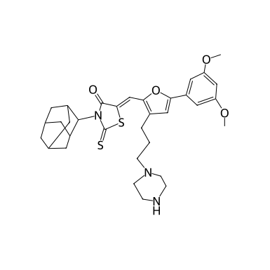 COc1cc(OC)cc(-c2cc(CCCN3CCNCC3)c(/C=C3\SC(=S)N(C4C5CC6CC(C5)CC4C6)C3=O)o2)c1